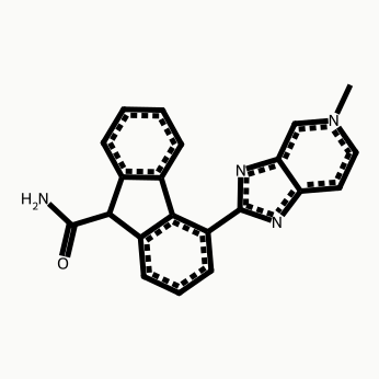 Cn1ccc2nc(-c3cccc4c3-c3ccccc3C4C(N)=O)nc-2c1